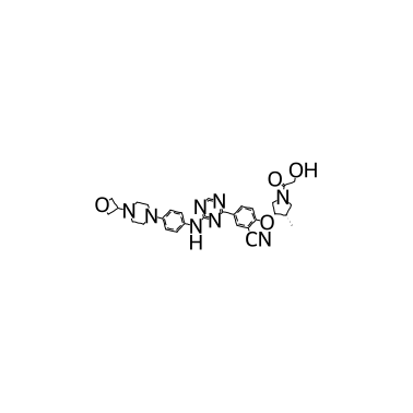 C[C@H]1CN(C(=O)CO)C[C@H]1Oc1ccc(-c2ncnc(Nc3ccc(N4CCN(C5COC5)CC4)cc3)n2)cc1C#N